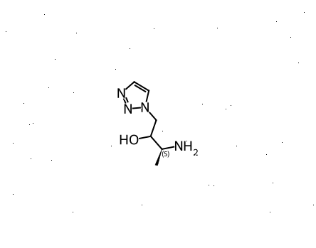 C[C@H](N)C(O)Cn1ccnn1